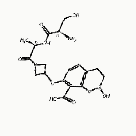 C[C@@H](NC(=O)[C@H](N)CO)C(=O)N1CC(Oc2ccc3c(c2C(=O)O)OB(O)CC3)C1